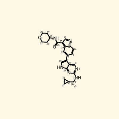 C[C@@H](Nc1ncc2c(-c3ccn4ncc(C(=O)NC5CCOCC5)c4c3)c[nH]c2n1)C1CC1